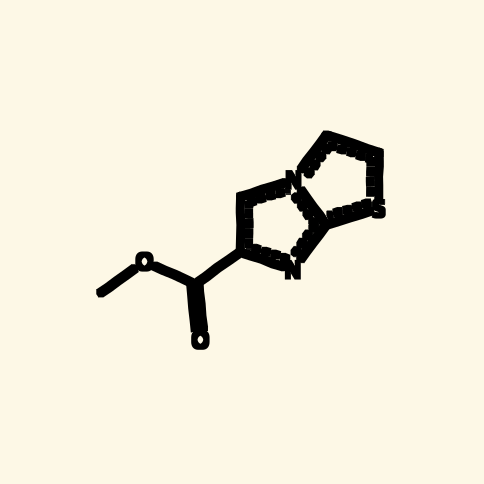 COC(=O)c1cn2ccsc2n1